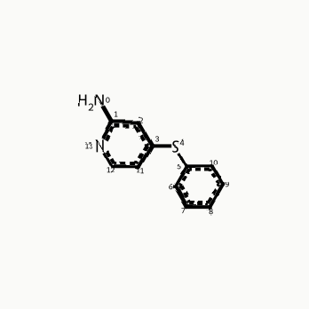 Nc1cc(Sc2ccccc2)ccn1